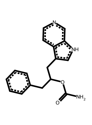 NC(=O)OC(Cc1ccccc1)Cc1c[nH]c2cnccc12